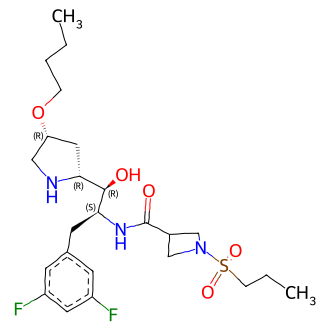 CCCCO[C@H]1CN[C@@H]([C@@H](O)[C@H](Cc2cc(F)cc(F)c2)NC(=O)C2CN(S(=O)(=O)CCC)C2)C1